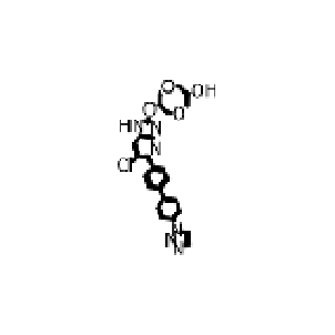 O[C@H]1COC[C@@H](Oc2nc3nc(-c4ccc(-c5ccc(-n6ccnn6)cc5)cc4)c(Cl)cc3[nH]2)COC1